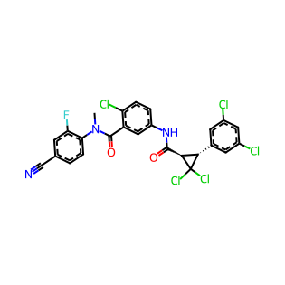 CN(C(=O)c1cc(NC(=O)[C@H]2[C@H](c3cc(Cl)cc(Cl)c3)C2(Cl)Cl)ccc1Cl)c1ccc(C#N)cc1F